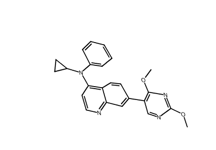 COc1ncc(-c2ccc3c(N(c4ccccc4)C4CC4)ccnc3c2)c(OC)n1